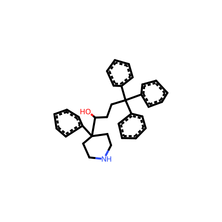 OC(CCC(c1ccccc1)(c1ccccc1)c1ccccc1)C1(c2ccccc2)CCNCC1